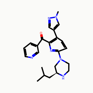 CC(C)C[C@H]1CN(c2ccc(-c3cnn(C)c3)c(C(=O)c3cccnc3)n2)CCN1